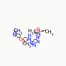 CC#CC(=O)N1CCN(c2cc3c(Nc4ccc(Oc5ccc6c(c5)ncn6C)c(C)c4)ncnc3cn2)C[C@H]1C